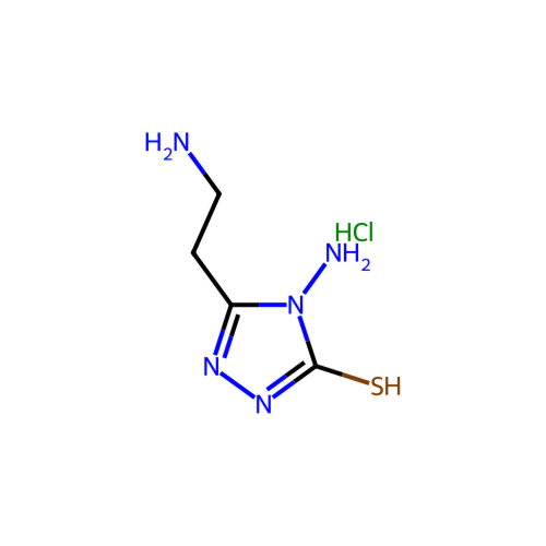 Cl.NCCc1nnc(S)n1N